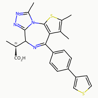 Cc1sc2c(c1C)C(c1ccc(-c3ccsc3)cc1)=NC([C@H](C)C(=O)O)c1nnc(C)n1-2